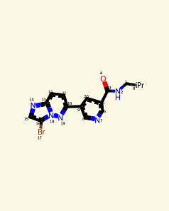 CC(C)CNC(=O)c1cncc(-c2ccc3ncc(Br)n3n2)c1